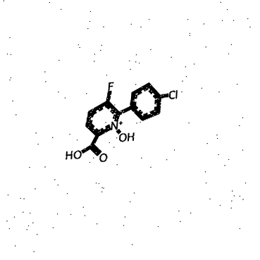 O=C(O)c1ccc(F)c(-c2ccc(Cl)cc2)[n+]1O